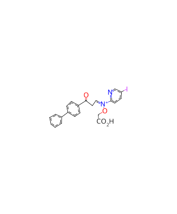 O=C(O)CO[N+](=CCC(=O)c1ccc(-c2ccccc2)cc1)c1ccc(I)cn1